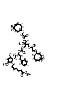 CC(C)OC(=O)CCC/C=C\C[C@@H]1[C@@H](CC[C@H](CCc2ccccc2)OC(=O)OCC(C)(COC(=O)COC2CCC#CC(F)(F)CC2)COC(=O)COC2CC/C=C\C(F)(F)CC2)[C@H](O)C[C@@H]1O